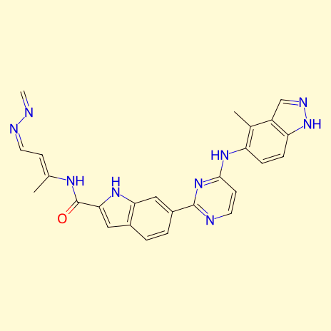 C=N/N=C\C=C(/C)NC(=O)c1cc2ccc(-c3nccc(Nc4ccc5[nH]ncc5c4C)n3)cc2[nH]1